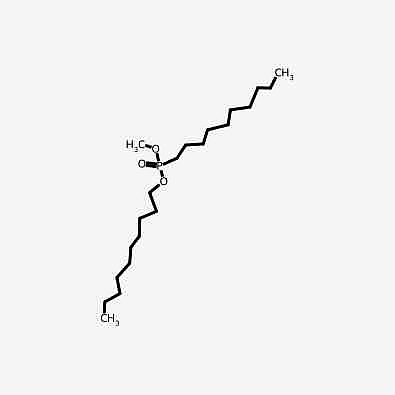 CCCCCCCCCCOP(=O)(CCCCCCCCCC)OC